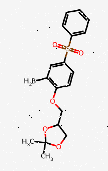 Bc1cc(S(=O)(=O)c2ccccc2)ccc1OCC1COC(C)(C)O1